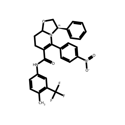 Cc1ccc(NC(=O)C2=C(c3ccc([N+](=O)[O-])cc3)N3C(CC2)OC[C@H]3c2ccccc2)cc1C(F)(F)F